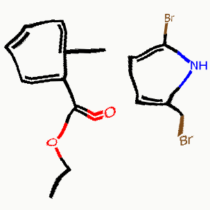 Brc1ccc(Br)[nH]1.CCOC(=O)c1ccccc1C